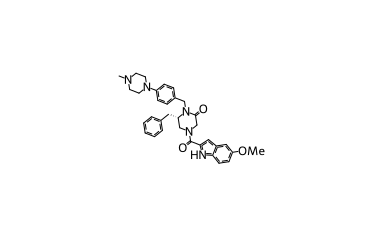 COc1ccc2[nH]c(C(=O)N3CC(=O)N(Cc4ccc(N5CCN(C)CC5)cc4)[C@@H](Cc4ccccc4)C3)cc2c1